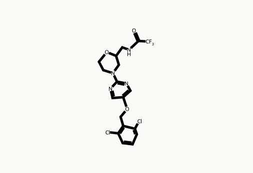 O=C(NCC1CN(c2ncc(OCc3c(Cl)cccc3Cl)cn2)CCO1)C(F)(F)F